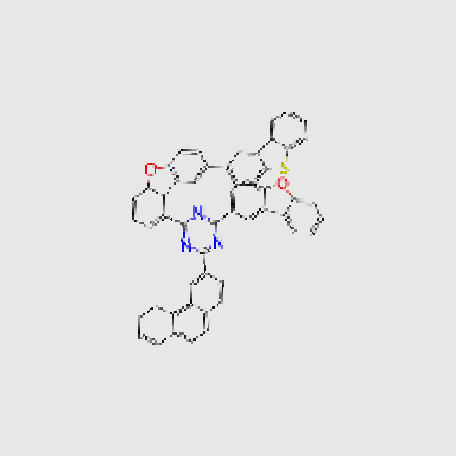 C1=CC2Oc3ccc(-c4ccc5sc6ccccc6c5c4)cc3C2C(c2nc(-c3ccc4ccc5c(c4c3)CCC=C5)nc(-c3ccc4oc5ccccc5c4c3)n2)=C1